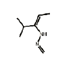 C=NN/C(=C\C)C(C)C